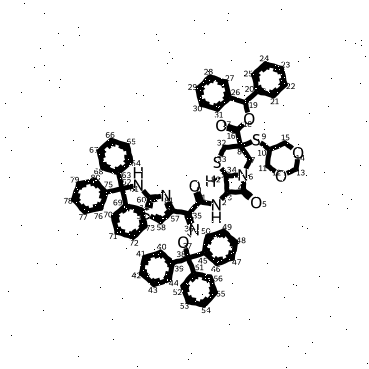 O=C(NC1C(=O)N2CC(SC3COCOC3)(C(=O)OC(c3ccccc3)c3ccccc3)CS[C@H]12)C(=NOC(c1ccccc1)(c1ccccc1)c1ccccc1)c1csc(NC(c2ccccc2)(c2ccccc2)c2ccccc2)n1